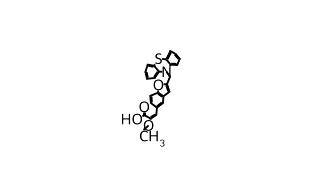 CCO/C(=C/c1ccc2oc(CN3c4ccccc4Sc4ccccc43)cc2c1)C(=O)O